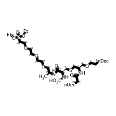 CCCCCCCCCCCCOC[C@H](CSC[C@H](NC(=O)O)C(=O)N[C@@H](C)COCCOCCOCCP(=O)(OCC)OCC)NC(=O)CCCCCCCCCCC